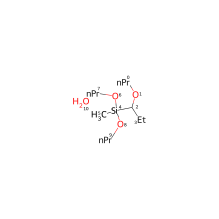 CCCOC(CC)[Si](C)(OCCC)OCCC.O